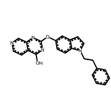 Oc1nc(Oc2ccc3c(ccn3CCc3ccccc3)c2)nc2cnccc12